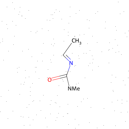 CC=NC(=O)NC